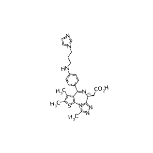 Cc1sc2c(c1C)C(c1ccc(NCCCn3ccnc3)cc1)=N[C@@H](CC(=O)O)c1nnc(C)n1-2